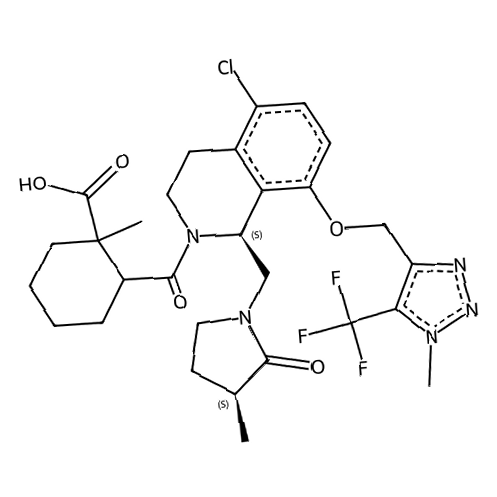 C[C@H]1CCN(C[C@@H]2c3c(OCc4nnn(C)c4C(F)(F)F)ccc(Cl)c3CCN2C(=O)C2CCCCC2(C)C(=O)O)C1=O